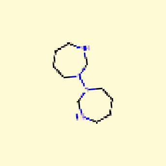 [CH]1NCCCCN1N1CCCCNC1